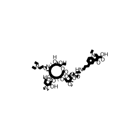 CC[C@H]1OC(=O)[C@H](C)[C@@H](O[C@H]2C[C@@](C)(OC)[C@@H](OS(=O)(=O)CCNCCCc3ccc4c(c3)c(=O)c(C(=O)O)cn4CC)[C@H](C)O2)[C@H](C)[C@@H](O[C@@H]2O[C@H](C)C[C@H](N(C)C)[C@H]2O)[C@](C)(O)C[C@@H](C)/C(=N\OCCN(CC)CC)[C@H](C)[C@@H](O)[C@]1(C)O